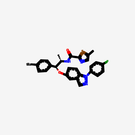 Cc1cnc(C(=O)N[C@@H](C)[C@H](Oc2ccc3c(cnn3-c3ccc(F)cc3)c2)c2ccc(C(C)(C)C)cc2)s1